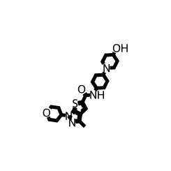 Cc1nn(C2CCOCC2)c2sc(C(=O)NC3CCC(N4CCC(O)CC4)CC3)cc12